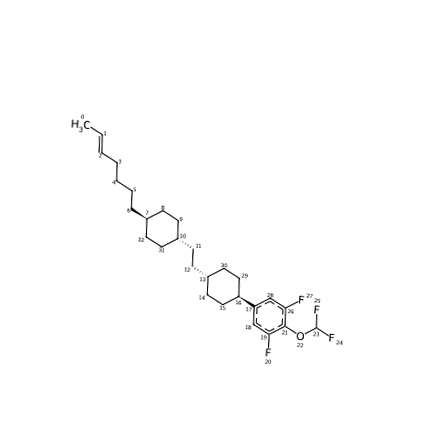 C/C=C/CCCC[C@H]1CC[C@H](CC[C@H]2CC[C@H](c3cc(F)c(OC(F)F)c(F)c3)CC2)CC1